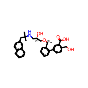 C[C@@H](OC[C@H](O)CNC(C)(C)Cc1ccc2ccccc2c1)c1ccccc1-c1ccc(CO)c(C(=O)O)c1